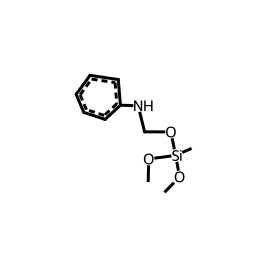 CO[Si](C)(OC)OCNc1ccccc1